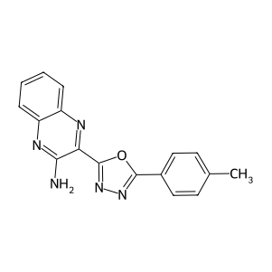 Cc1ccc(-c2nnc(-c3nc4ccccc4nc3N)o2)cc1